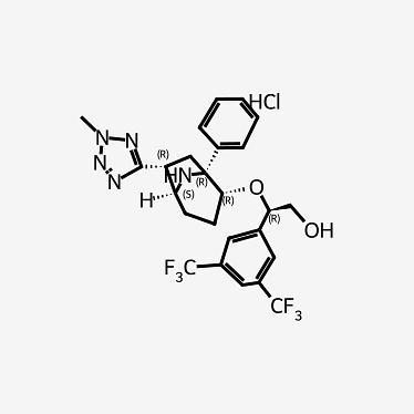 Cl.Cn1nnc([C@@H]2C[C@]3(c4ccccc4)N[C@H]2CC[C@H]3O[C@@H](CO)c2cc(C(F)(F)F)cc(C(F)(F)F)c2)n1